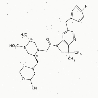 C[C@@H]1CN(CC(=O)N2CC(C)(C)c3ncc(Cc4ccc(F)cc4)cc32)[C@@H](CN2CCOC(C#N)C2)CN1C(=O)O